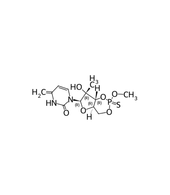 C=C1C=CN([C@@H]2O[C@@H]3COP(=S)(OC)O[C@H]3[C@@]2(C)O)C(=O)N1